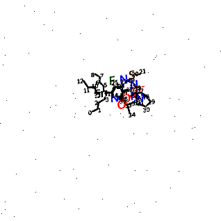 CCC[CH2][Sn]([CH2]CCC)([CH2]CCC)[c]1nc2c3c(nc(SC)nc3c1F)N1CC3CCC(C1C(C)O2)N3C(=O)[O-]